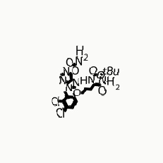 CC(C)(C)OC(=O)NC(CCCOc1ccc(Cl)c(Cl)c1Cn1cnc2c(OC(N)=O)ncnc21)C(N)=O